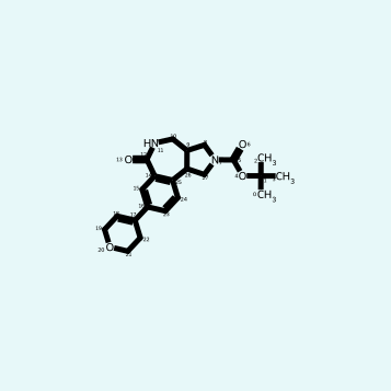 CC(C)(C)OC(=O)N1CC2CNC(=O)c3cc(C4=CCOCC4)ccc3C2C1